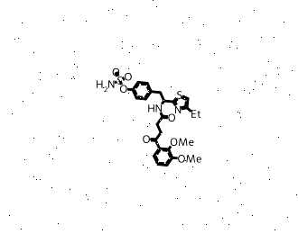 CCc1csc(C(Cc2ccc(OS(N)(=O)=O)cc2)NC(=O)CCC(=O)c2cccc(OC)c2OC)n1